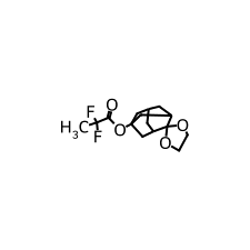 CC(F)(F)C(=O)OC12CC3CC(C1)C1(OCCO1)C(C3)C2